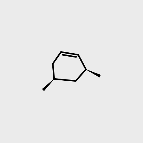 C[C@H]1CC=C[C@@H](C)C1